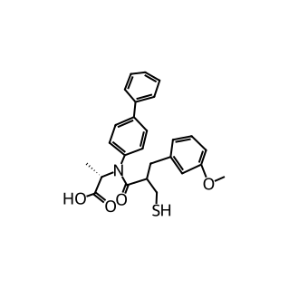 COc1cccc(CC(CS)C(=O)N(c2ccc(-c3ccccc3)cc2)[C@@H](C)C(=O)O)c1